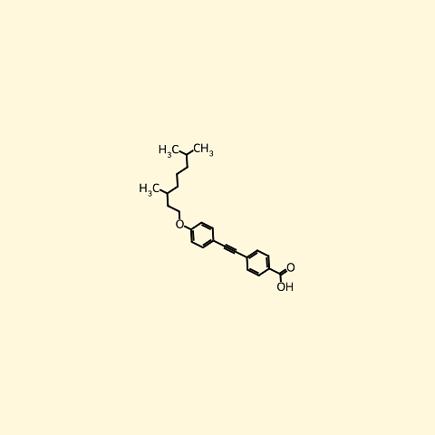 CC(C)CCCC(C)CCOc1ccc(C#Cc2ccc(C(=O)O)cc2)cc1